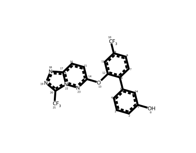 Oc1cccc(-c2ccc(C(F)(F)F)cc2Oc2ccc3nnc(C(F)(F)F)n3n2)c1